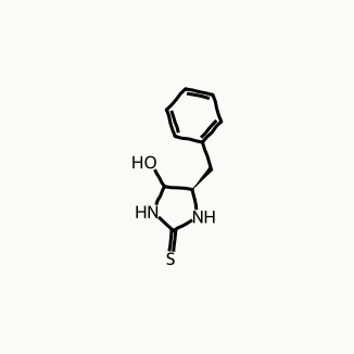 OC1NC(=S)N[C@@H]1Cc1ccccc1